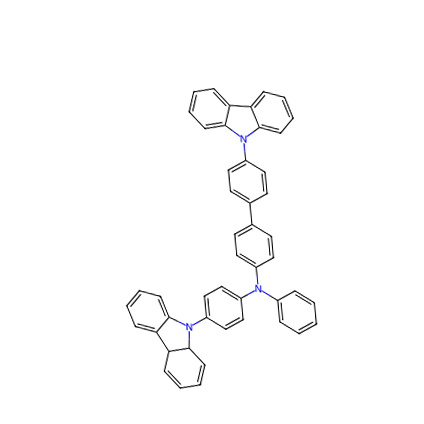 C1=CC2c3ccccc3N(c3ccc(N(c4ccccc4)c4ccc(-c5ccc(-n6c7ccccc7c7ccccc76)cc5)cc4)cc3)C2C=C1